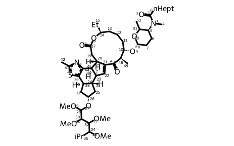 CCCCCCCC(=O)N(C)[C@H]1CC[C@H](O[C@H]2CCC[C@H](CC)OC(=O)C[C@@H]3C(=C[C@H]4[C@@H]5C[C@H](OC(OC)C(OC)C(OC)C(OC)C(C)C)C[C@H]5c5sc(C)nc5[C@H]43)C(=O)[C@@H]2C)OC1C